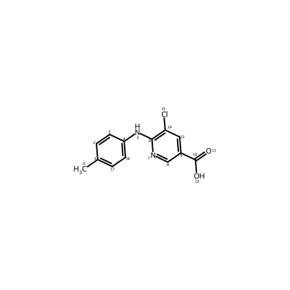 Cc1ccc(Nc2ncc(C(=O)O)cc2Cl)cc1